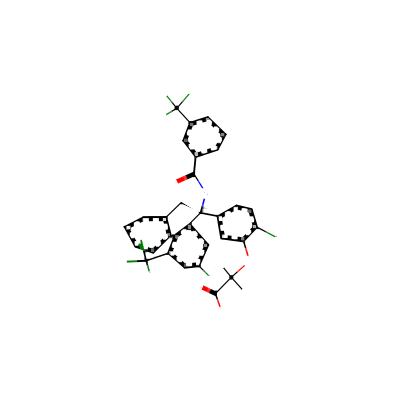 CC(C)(Oc1cc([C@@](Cc2ccccc2)(NC(=O)c2cccc(C(F)(F)F)c2)c2cc(F)cc(C(F)(F)F)c2)ccc1F)C(=O)O